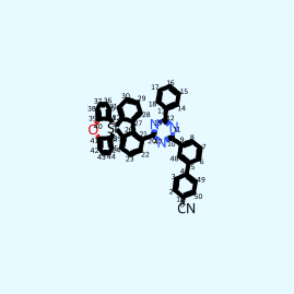 N#Cc1ccc(-c2cccc(-c3nc(-c4ccccc4)nc(-c4cccc5c4-c4ccccc4[Si]54c5ccccc5Oc5ccccc54)n3)c2)cc1